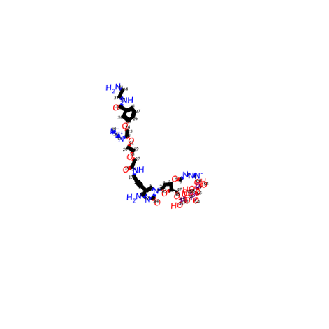 [N-]=[N+]=NCO[C@@H]1C[C@H](n2cc(C#CCNC(=O)COCCOC(COc3cccc(C(=O)NCCN)c3)N=[N+]=[N-])c(N)nc2=O)O[C@@H]1COP(=O)(O)OP(=O)(O)OP(=O)(O)O